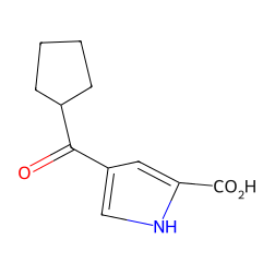 O=C(O)c1cc(C(=O)C2CCCC2)c[nH]1